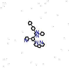 c1ccc(-c2ccc(-c3cc(-c4cc(-c5cccnc5)cc(-c5ccc6ccc7cccnc7c6n5)c4)nc(-c4ccccc4)n3)cc2)cc1